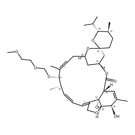 COCCOCO[C@@H]1/C(C)=C\C[C@@H]2C[C@@H](C[C@]3(CC[C@H](C)[C@@H](C(C)C)O3)O2)OC(=O)[C@@H]2C=C(C)[C@@H](O)[C@H]3OC/C(=C/C=C\[C@@H]1C)[C@]32O